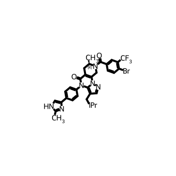 Cc1nc(-c2ccc(-n3c(=O)c4c(n5ncc(CC(C)C)c35)CN(C(=O)c3ccc(Br)c(C(F)(F)F)c3)[C@H](C)C4)cc2)c[nH]1